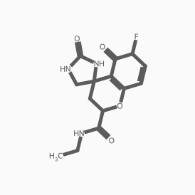 CCNC(=O)C1CC2(CNC(=O)N2)C2=C(C=CC(F)C2=O)O1